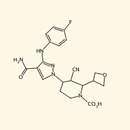 N#CC1C(C2COC2)N(C(=O)O)CCC1n1cc(C(N)=O)c(Nc2ccc(F)cc2)n1